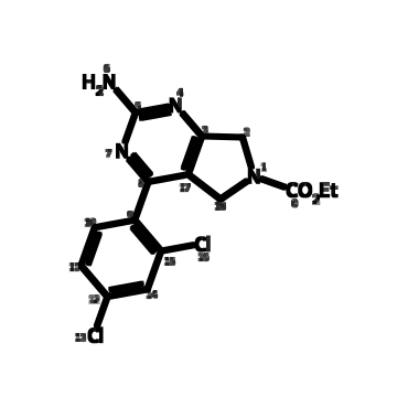 CCOC(=O)N1Cc2nc(N)nc(-c3ccc(Cl)cc3Cl)c2C1